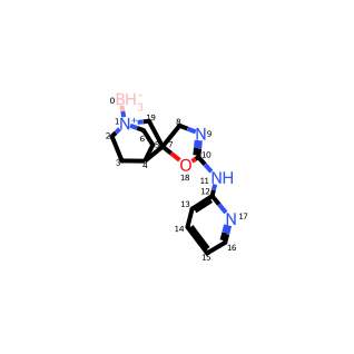 [BH3-][N+]12CCC(CC1)C1(CN=C(Nc3ccccn3)O1)C2